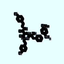 COc1ccc(C)cc1.O=C(NC(C(=O)NCCc1ccc(Cl)cc1)C(=O)NCCc1ccc(Cl)cc1)C(S)Cc1ccccc1